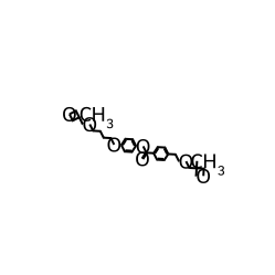 CC1(COCCCCOc2ccc(OC(=O)c3ccc(CCOCC4(C)COC4)cc3)cc2)COC1